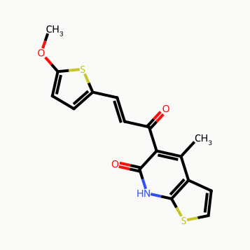 COc1ccc(C=CC(=O)c2c(C)c3ccsc3[nH]c2=O)s1